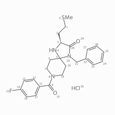 CSCC[C@@H]1NC2(CCN(C(=O)c3ccc(F)cc3)CC2)N(Cc2ccccc2)C1=O.Cl